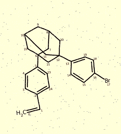 C=Cc1ccc(C23CC4CC(CC(c5ccc(Br)cc5)(C4)C2)C3)cc1